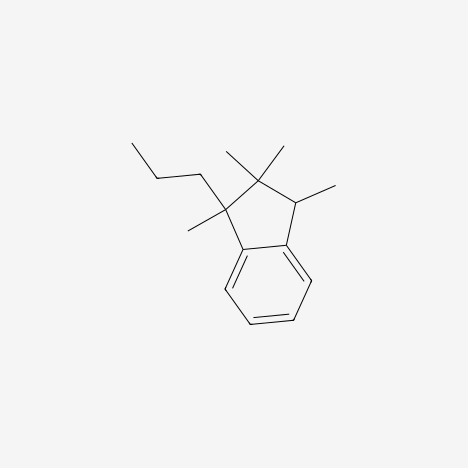 CCCC1(C)c2ccccc2C(C)C1(C)C